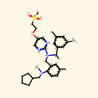 CCN(CC1CCCC1)c1ccc(C)cc1CN(c1ncc(OCCS(C)(=O)=O)cn1)C(C)c1cc(C)cc(C(F)(F)F)c1